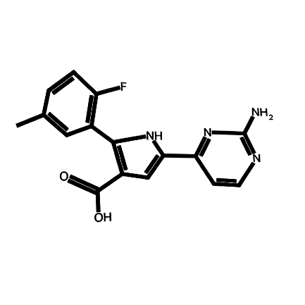 Cc1ccc(F)c(-c2[nH]c(-c3ccnc(N)n3)cc2C(=O)O)c1